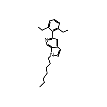 CCCCCCCn1ccc2cc(-c3c(CC)cccc3CC)ncc21